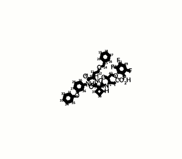 O=C(O)CC(NC(=O)C1(C(=O)NC(CCOCc2ccccc2)C(=O)Nc2cccc(Oc3ccccc3)c2)CCC1)C(=O)COc1c(F)c(F)cc(F)c1F